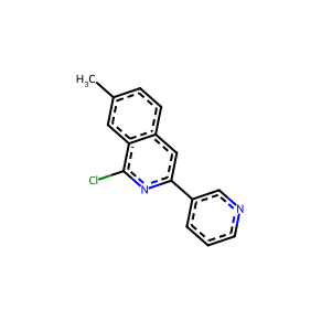 Cc1ccc2cc(-c3cccnc3)nc(Cl)c2c1